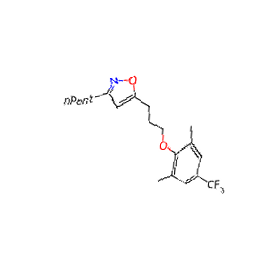 CCCCCc1cc(CCCOc2c(C)cc(C(F)(F)F)cc2C)on1